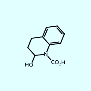 O=C(O)N1c2ccccc2CCC1O